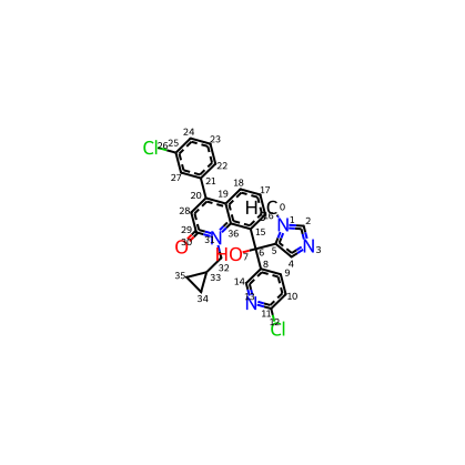 Cn1cncc1C(O)(c1ccc(Cl)nc1)c1cccc2c(-c3cccc(Cl)c3)cc(=O)n(CC3CC3)c12